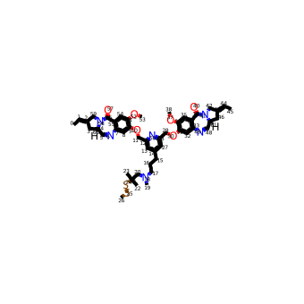 C/C=C1\C[C@H]2C=Nc3cc(OCc4cc(CCCN(C)CC(C)(C)SSC)cc(COc5cc6c(cc5OC)C(=O)N5C/C(=C/C)C[C@H]5C=N6)n4)c(OC)cc3C(=O)N2C1